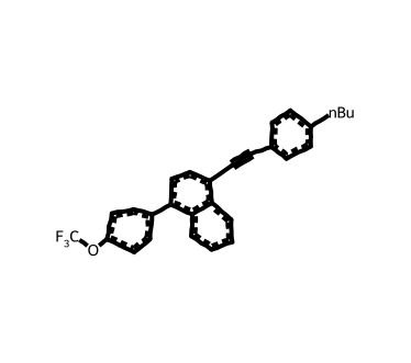 CCCCc1ccc(C#Cc2ccc(-c3ccc(OC(F)(F)F)cc3)c3ccccc23)cc1